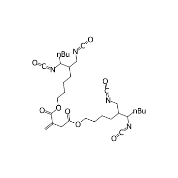 C=C(CC(=O)OCCCCC(CN=C=O)C(CCCC)N=C=O)C(=O)OCCCCC(CN=C=O)C(CCCC)N=C=O